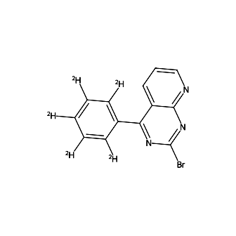 [2H]c1c([2H])c([2H])c(-c2nc(Br)nc3ncccc23)c([2H])c1[2H]